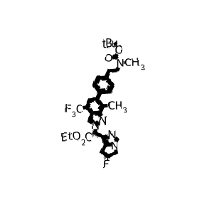 CCOC(=O)[C@@H](c1ncn2c1C[C@@H](F)C2)n1cc2c(C(F)(F)F)cc(-c3ccc(CCN(C)C(=O)OC(C)(C)C)cc3)c(C)c2n1